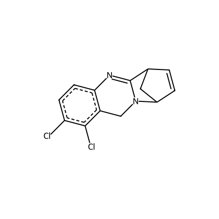 Clc1ccc2c(c1Cl)CN1C(=N2)C2C=CC1C2